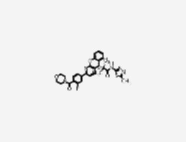 Cc1nnc(NC(=O)C(C)(C)[C@H]2c3ccccc3Oc3nc(-c4ccc(C(=O)N5CCOCC5)c(F)c4)ccc32)s1